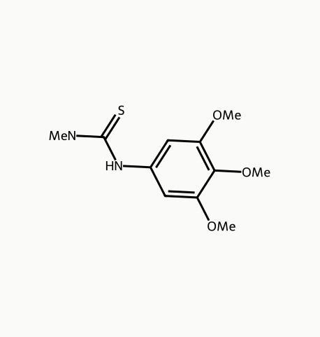 CNC(=S)Nc1cc(OC)c(OC)c(OC)c1